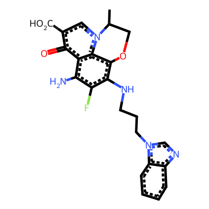 CC1COc2c(NCCCn3cnc4ccccc43)c(F)c(N)c3c(=O)c(C(=O)O)cn1c23